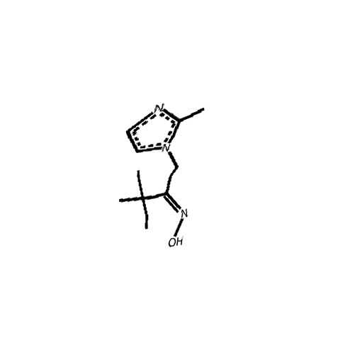 Cc1nccn1C/C(=N/O)C(C)(C)C